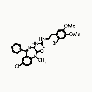 COc1cc(Br)c(CCNC(=S)NC2N=C(c3ccccc3)c3cc(Cl)ccc3N(C)C2=O)cc1OC